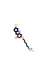 O=C1CC(OCCCCCCCC(F)(F)F)=Cc2nc3cc(Cl)ccc3cc21